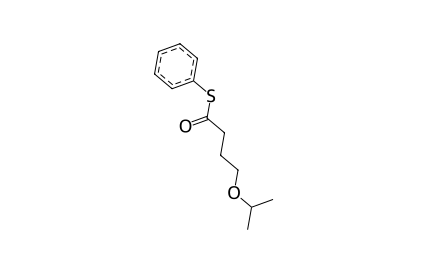 CC(C)OCCCC(=O)Sc1ccccc1